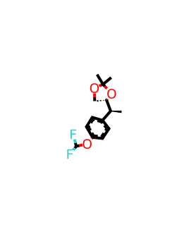 C[C@@H](c1ccc(OC(F)F)cc1)[C@@H]1COC(C)(C)O1